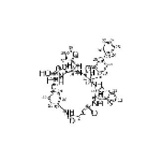 O=C1CCC(=O)N[C@H](Cc2cccs2)C(=O)N[C@@H](Cc2ccc(-c3ccccc3)cc2)C(=O)N[C@H](Cc2ccco2)C(=O)N[C@H](C(=O)O)Cc2ccc(cc2)N1